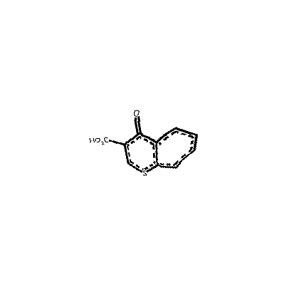 O=C(O)c1csc2ccccc2c1=O